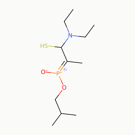 CCN(CC)C(S)/C(C)=[P+](\[O-])OCC(C)C